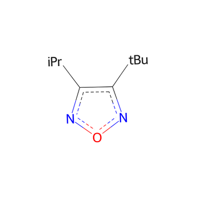 CC(C)c1nonc1C(C)(C)C